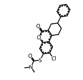 CN(C)C(=O)Sc1cc2oc(=O)c3c(c2cc1Cl)CCC(c1ccccc1)C3